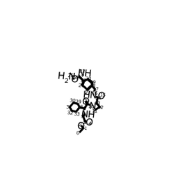 CCOC(=O)CNC(C(=O)N1CCC1C(=O)NCc1ccc(C(=N)ON)cc1)C1CCCCC1